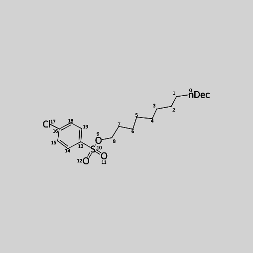 CCCCCCCCCCCCCCCCCCOS(=O)(=O)c1ccc(Cl)cc1